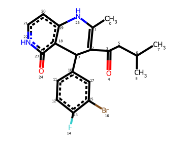 CC1=C(C(=O)CC(C)C)C(c2ccc(F)c(Br)c2)c2c(cc[nH]c2=O)N1